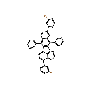 Brc1cccc(-c2ccc3c(-c4ccccc4)c4c(c(-c5ccccc5)c3c2)-c2cccc3c(-c5cccc(Br)c5)ccc-4c23)c1